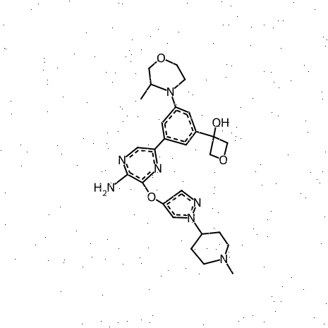 CC1COCCN1c1cc(-c2cnc(N)c(Oc3cnn(C4CCN(C)CC4)c3)n2)cc(C2(O)COC2)c1